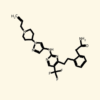 C=CCN1CCC(n2cc(Nc3ncc(C(F)(F)F)c(CCc4ccccc4CC(N)=O)n3)cn2)CC1